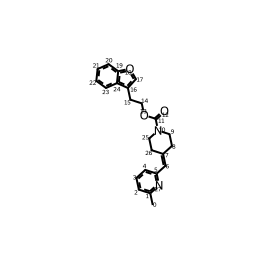 Cc1cccc(C=C2CCN(C(=O)OCCc3coc4ccccc34)CC2)n1